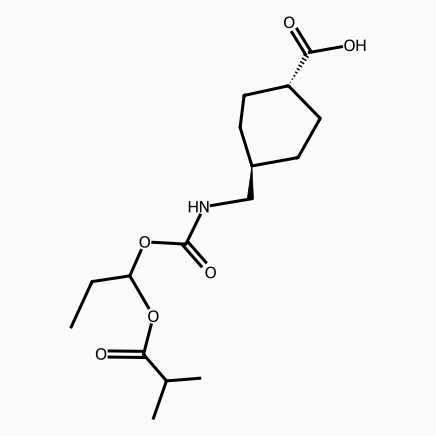 CCC(OC(=O)NC[C@H]1CC[C@H](C(=O)O)CC1)OC(=O)C(C)C